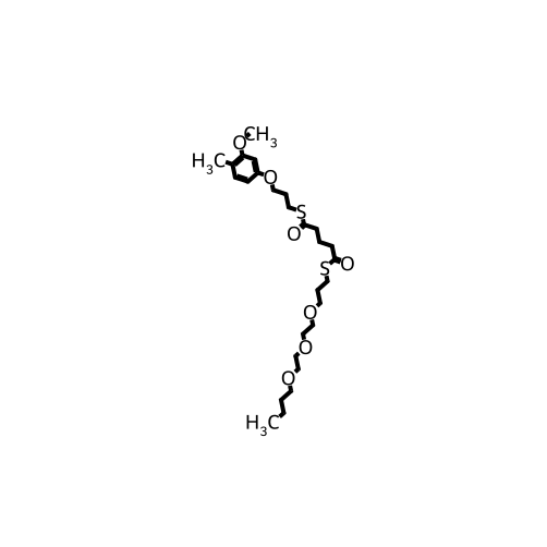 CCCCOCCOCCOCCCSC(=O)CCCC(=O)SCCCOc1ccc(C)c(OC)c1